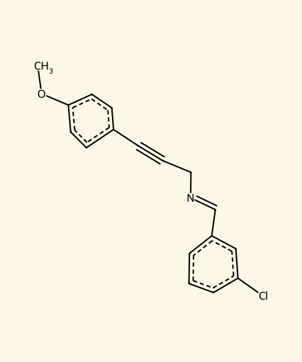 COc1ccc(C#CC/N=C/c2cccc(Cl)c2)cc1